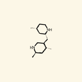 C[C@@H]1CCN[C@H](CC2CN[C@H](C)C[C@H]2C)C1